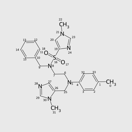 Cc1ccc(N(CCN(Cc2ccccc2)S(=O)(=O)c2cn(C)cn2)Cc2cncn2C)cc1